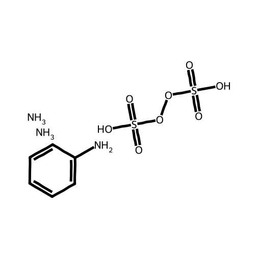 N.N.Nc1ccccc1.O=S(=O)(O)OOS(=O)(=O)O